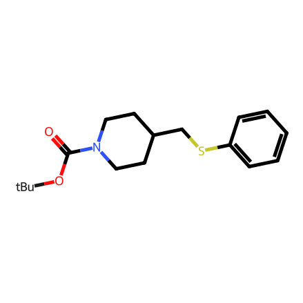 CC(C)(C)OC(=O)N1CCC(CSc2ccccc2)CC1